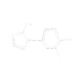 Cc1cc(-c2ccoc2C=O)ccc1Br